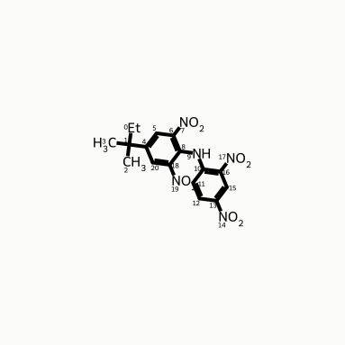 CCC(C)(C)c1cc([N+](=O)[O-])c(Nc2ccc([N+](=O)[O-])cc2[N+](=O)[O-])c([N+](=O)[O-])c1